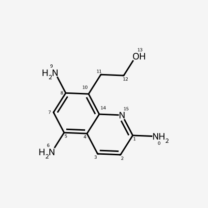 Nc1ccc2c(N)cc(N)c(CCO)c2n1